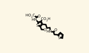 O=C(Cc1cccs1)NCC1Cc2c(sc(NC(=O)C(=O)O)c2C(=O)O)CO1